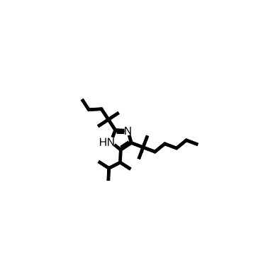 CCCCCC(C)(C)c1nc(C(C)(C)CCC)[nH]c1C(C)C(C)C